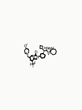 COC1CCN(Cc2cc(C(F)(F)F)c3cn(-c4cccc([C@@H](C5CCC5)C5NNC6(CCCCCC6)N5C)c4)c(=O)n3c2)CC1